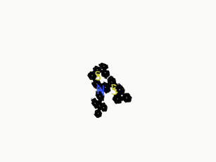 c1ccc(-c2ccccc2-c2cccc3c2sc2c(-c4ccc5c(c4)c4cc(-c6cccc7c6sc6c(-c8ccccc8-c8ccccc8)cccc67)ccc4n5-c4ccc(-c5c6ccccc6c(-c6ccccc6)c6ccccc56)cc4)cccc23)cc1